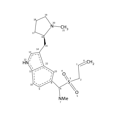 C=CCS(=O)(=O)C(NC)c1ccc2[nH]cc(C[C@H]3CCCN3C)c2c1